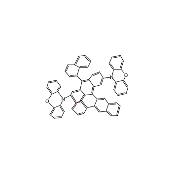 c1ccc(-c2cc3ccccc3cc2-c2c3cc(N4c5ccccc5Oc5ccccc54)ccc3c(-c3cccc4ccccc34)c3cc(N4c5ccccc5Oc5ccccc54)ccc23)cc1